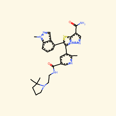 Cc1ncc(C(=O)NCCN2CCCC2(C)C)cc1-c1c(-c2cccc3c2cnn3C)sc2c(C(N)=O)cnn12